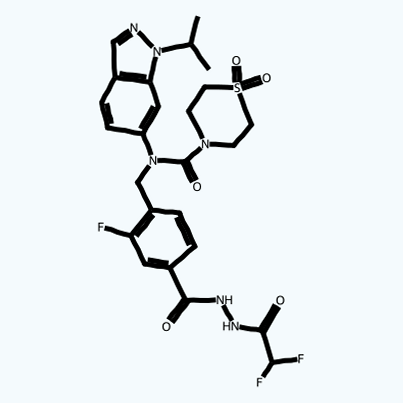 CC(C)n1ncc2ccc(N(Cc3ccc(C(=O)NNC(=O)C(F)F)cc3F)C(=O)N3CCS(=O)(=O)CC3)cc21